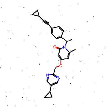 Cc1cc(OCc2ncc(C3CC3)cn2)cc(=O)n1[C@H](C)c1ccc(C#CC2CC2)cc1